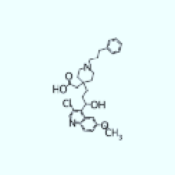 COc1ccc2ncc(Cl)c(C(O)CCC3(CC(=O)O)CCN(CCCc4ccccc4)CC3)c2c1